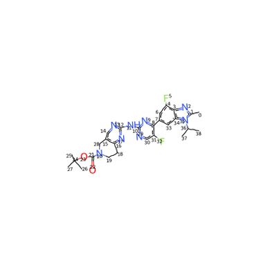 Cc1nc2c(F)cc(-c3nc(Nc4ncc5c(n4)CCN(C(=O)OC(C)(C)C)C5)ncc3F)cc2n1C(C)C